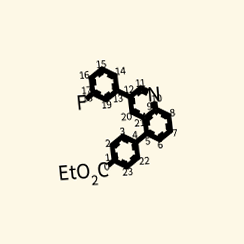 CCOC(=O)c1ccc(-c2cccc3ncc(-c4cccc(F)c4)cc23)cc1